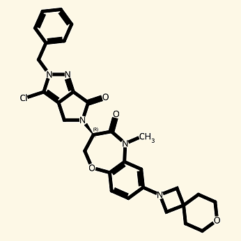 CN1C(=O)[C@H](N2Cc3c(nn(Cc4ccccc4)c3Cl)C2=O)COc2ccc(N3CC4(CCOCC4)C3)cc21